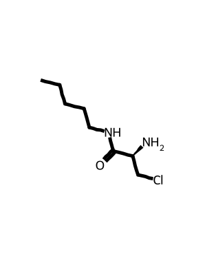 CCCCCNC(=O)[C@@H](N)CCl